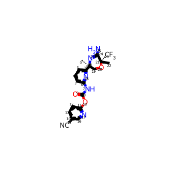 C[C@@]1(c2cccc(NC(=O)Oc3ccc(C#N)cn3)n2)CO[C@@](C)(C(F)(F)F)C(N)=N1